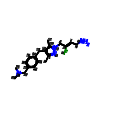 Cc1nn(C/C(F)=C/CN)c(C)c1Cc1ccc(CN(C)C)cc1